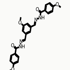 COc1ccc(C(=O)N/N=C/c2cc(/C=N/NC(=O)c3ccc(OC)cc3)cc(OC)c2)cc1